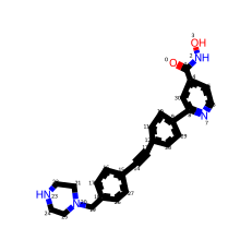 O=C(NO)c1ccnc(-c2ccc(C#Cc3ccc(CN4CCNCC4)cc3)cc2)c1